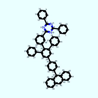 c1ccc(-c2nc(-c3ccccc3)nc(-c3cccc(-c4c(-c5ccccc5)cc(-c5ccc(-c6c7ccccc7cc7ccccc67)cc5)cc4-c4ccccc4)c3)n2)cc1